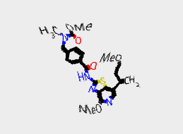 C=C(CCOC)c1cnc(OC)c2nc(NC(=O)c3ccc(CN(C)C(=O)OC)cc3)sc12